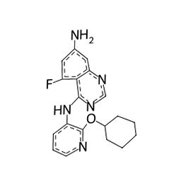 Nc1cc(F)c2c(Nc3cccnc3OC3CCCCC3)ncnc2c1